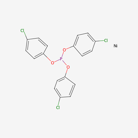 Clc1ccc(OP(Oc2ccc(Cl)cc2)Oc2ccc(Cl)cc2)cc1.[Ni]